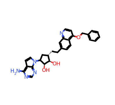 Nc1ncnc2c1ccn2C1C[C@H](CCc2ccc3c(OCc4ccccc4)ccnc3c2)[C@@H](O)[C@H]1O